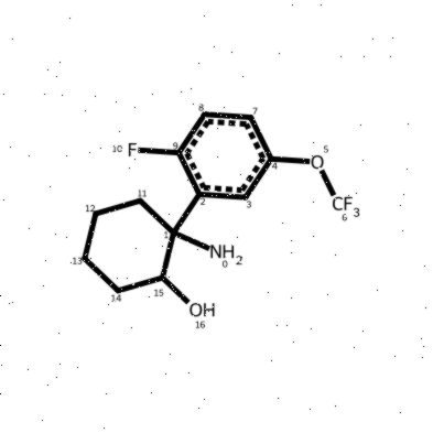 NC1(c2cc(OC(F)(F)F)ccc2F)CCCCC1O